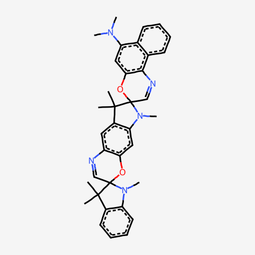 CN(C)c1cc2c(c3ccccc13)N=CC1(O2)N(C)c2cc3c(cc2C1(C)C)N=CC1(O3)N(C)c2ccccc2C1(C)C